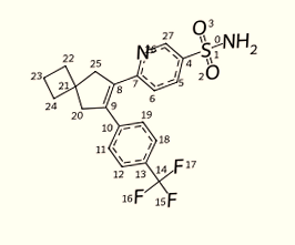 NS(=O)(=O)c1ccc(C2=C(c3ccc(C(F)(F)F)cc3)CC3(CCC3)C2)nc1